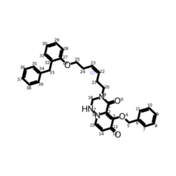 O=C1c2c(OCc3ccccc3)c(=O)ccn2NCN1CC/C=C\CCOc1ccccc1Cc1ccccc1